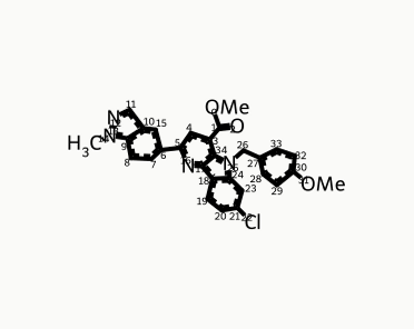 COC(=O)c1cc(-c2ccc3c(cnn3C)c2)nc2c3ccc(Cl)cc3n(Cc3ccc(OC)cc3)c12